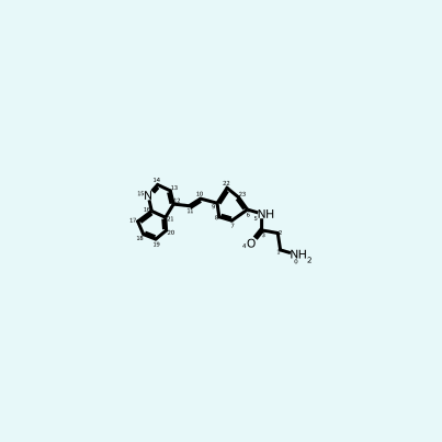 NCCC(=O)Nc1ccc(C=Cc2ccnc3ccccc23)cc1